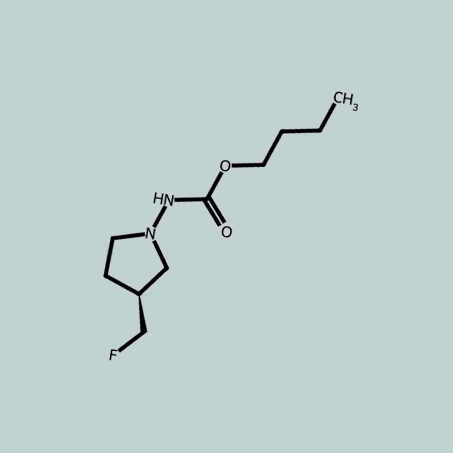 CCCCOC(=O)NN1CC[C@H](CF)C1